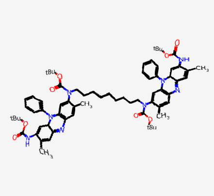 CC1=CC2=Nc3cc(C)c(N(CCCCCCCCCN(C(=O)OC(C)(C)C)c4cc5c(cc4C)N=C4C=C(C)C(NC(=O)OC(C)(C)C)=CC4N5c4ccccc4)C(=O)OC(C)(C)C)cc3N(c3ccccc3)C2C=C1NC(=O)OC(C)(C)C